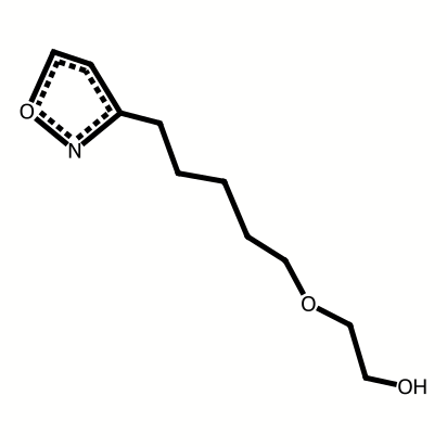 OCCOCCCCCc1ccon1